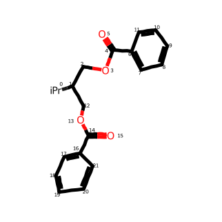 CC(C)C(COC(=O)c1ccccc1)COC(=O)c1ccccc1